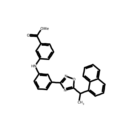 COC(=O)c1cccc(Nc2cccc(-c3noc(C(C)c4cccc5ccccc45)n3)c2)c1